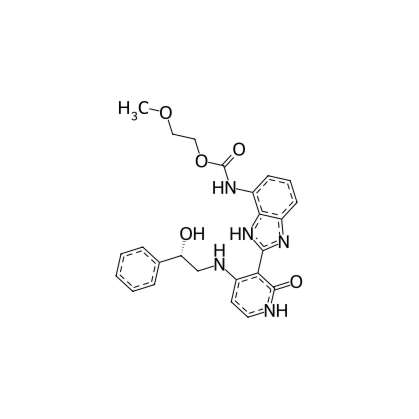 COCCOC(=O)Nc1cccc2nc(-c3c(NC[C@@H](O)c4ccccc4)cc[nH]c3=O)[nH]c12